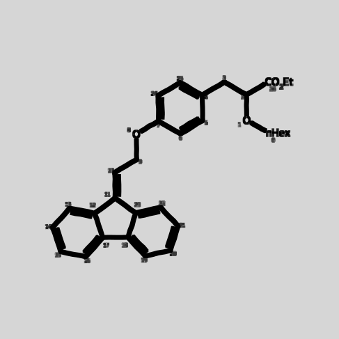 CCCCCCOC(Cc1ccc(OCC=C2c3ccccc3-c3ccccc32)cc1)C(=O)OCC